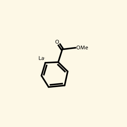 COC(=O)c1ccccc1.[La]